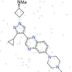 CN[C@H]1C[C@H](n2cc(-c3cnc4cc(N5CCN(C)CC5)ccc4n3)c(C3CC3)n2)C1